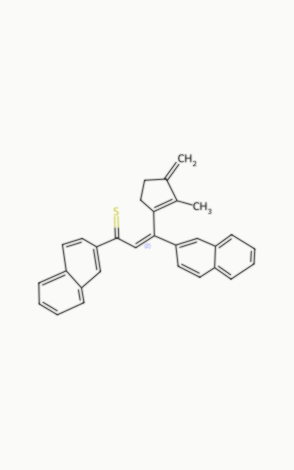 C=C1CCC(/C(=C\C(=S)c2ccc3ccccc3c2)c2ccc3ccccc3c2)=C1C